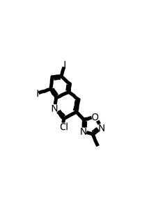 Cc1noc(-c2cc3cc(I)cc(I)c3nc2Cl)n1